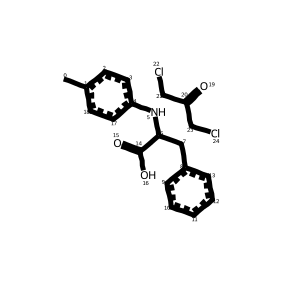 Cc1ccc(NC(Cc2ccccc2)C(=O)O)cc1.O=C(CCl)CCl